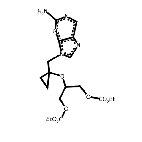 CCOC(=O)OCC(COC(=O)OCC)OC1(Cn2cnc3cnc(N)nc32)CC1